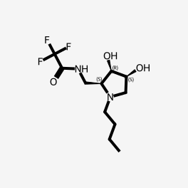 CCCCN1C[C@H](O)[C@H](O)[C@@H]1CNC(=O)C(F)(F)F